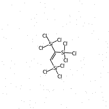 Cl[Si](Cl)(Cl)C=C([Si](Cl)(Cl)Cl)[Si](Cl)(Cl)Cl